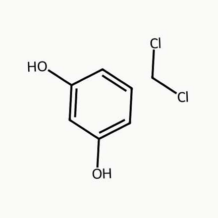 ClCCl.Oc1cccc(O)c1